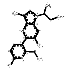 COCC(C)n1cc(C)c2nc(-c3ccc(C(C)C)nc3CN)c(C)cc21